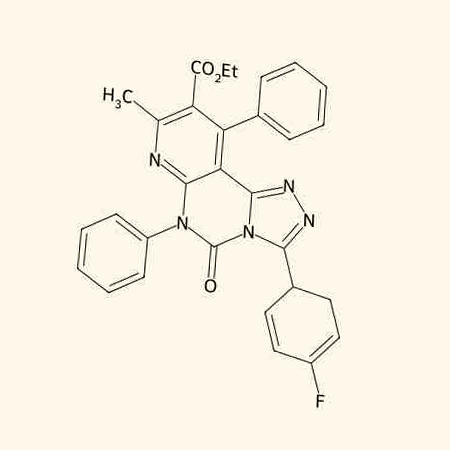 CCOC(=O)c1c(C)nc2c(c1-c1ccccc1)c1nnc(C3C=CC(F)=CC3)n1c(=O)n2-c1ccccc1